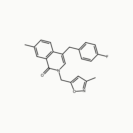 Cc1ccc2c(Cc3ccc(F)cc3)cn(Cc3cc(C)no3)c(=O)c2c1